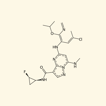 C=N/C(OC(C)C)=C(\C=C(/C)Cl)Nc1cc(NC)n2ncc(C(=O)N[C@H]3C[C@H]3F)c2n1